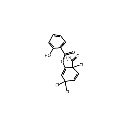 NC(=O)C1(Cl)C=CC(Cl)(Cl)C=C1OC(=O)c1ccccc1O